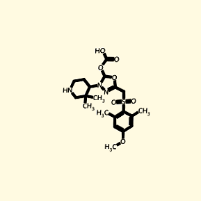 COc1cc(C)c(S(=O)(=O)CC2=NN(C3CCNCC3(C)C)C(OC(=O)O)O2)c(C)c1